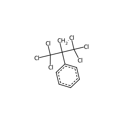 [CH2]C(c1ccccc1)(C(Cl)(Cl)Cl)C(Cl)(Cl)Cl